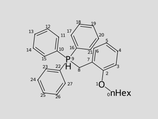 CCCCCCOc1ccccc1C[PH](c1ccccc1)(c1ccccc1)c1ccccc1